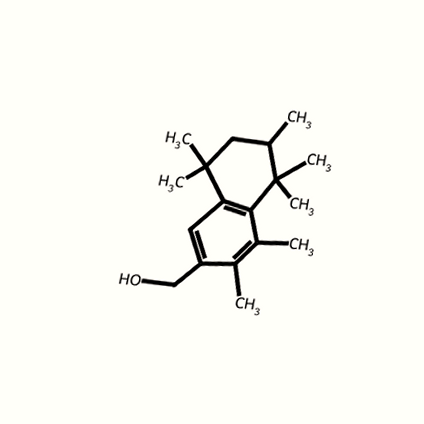 Cc1c(CO)cc2c(c1C)C(C)(C)C(C)CC2(C)C